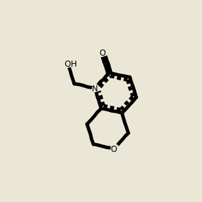 O=c1ccc2c(n1CO)CCOC2